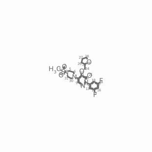 CS(=O)(=O)N1CCN(c2cnn(-c3cc(F)cc(F)c3)c(=O)c2OCC2CCCO2)CC1